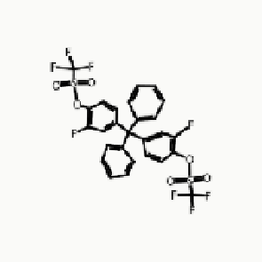 O=S(=O)(Oc1ccc(C(c2ccccc2)(c2ccccc2)c2ccc(OS(=O)(=O)C(F)(F)F)c(F)c2)cc1F)C(F)(F)F